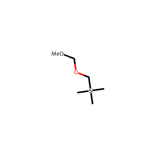 COCOC[Si](C)(C)C